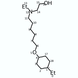 CC[C]1CCC(OCCCCCCN(CC)CCO)CC1